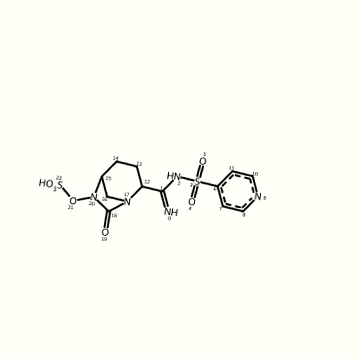 N=C(NS(=O)(=O)c1ccncc1)C1CCC2CN1C(=O)N2OS(=O)(=O)O